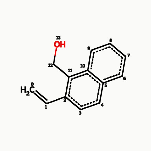 C=Cc1ccc2ccccc2c1CO